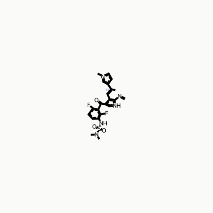 C=Nc1[nH]cc(C(=O)c2c(F)ccc(NS(=O)(=O)N(C)C)c2F)c1/C=C(\C)c1ccn(C)c1